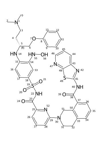 CN(C)CC[C@H](COc1ccccc1)Nc1ccc(S(=O)(=O)NC(=O)c2cccc(N3CCc4cccc(C(=O)Nc5nc6cccnc6s5)c4C3)n2)cc1NO